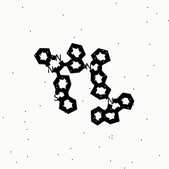 c1ccc2c(c1)ccc1c3ccccc3n(-c3ccc4cc5c(cc4c3)c3ccccc3n5-c3ccc(-c4nc5ccccc5nc4-c4ccc5c(c4)sc4ccccc45)c4ccccc34)c21